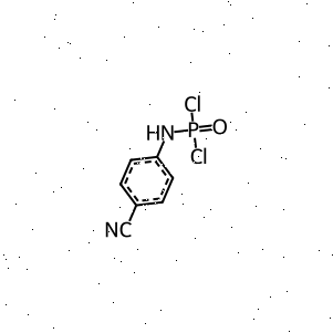 N#Cc1ccc(NP(=O)(Cl)Cl)cc1